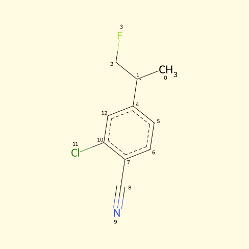 C[C](CF)c1ccc(C#N)c(Cl)c1